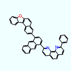 c1ccc(-c2ccc3ccc4ccc(-c5ccc(-c6ccc7c(ccc8oc9ccccc9c87)c6)c6cc7ccccc7cc56)nc4c3n2)cc1